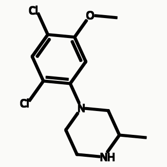 COc1cc(N2CCNC(C)C2)c(Cl)cc1Cl